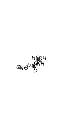 CC(C)CC(NC(=O)Cn1nc(-c2cccc(OCCN3CCOCC3)c2)cc1-c1ccccc1)OB(O)O